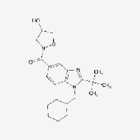 CC(C)(C)c1nc2cc(C(=O)N3CC(O)CO3)ccc2n1CC1CCCCC1